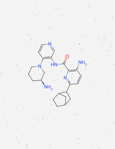 Nc1ccc(C2CC3CCC2C3)nc1C(=O)Nc1cnccc1N1CCC[C@H](N)C1